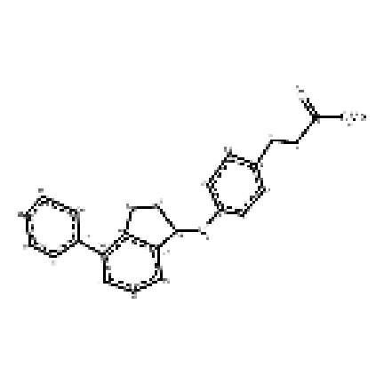 COC(=O)CCc1ccc(OC2CCc3c(-c4ccccc4)cccc32)cc1